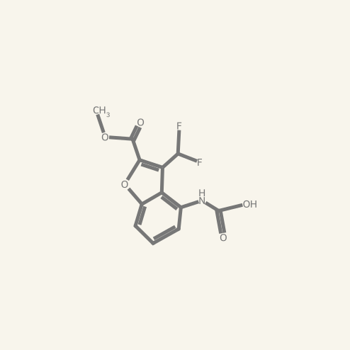 COC(=O)c1oc2cccc(NC(=O)O)c2c1C(F)F